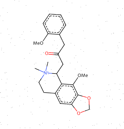 COc1ccccc1CC(=O)CC1c2c(cc3c(c2OC)OCO3)CC[N+]1(C)C